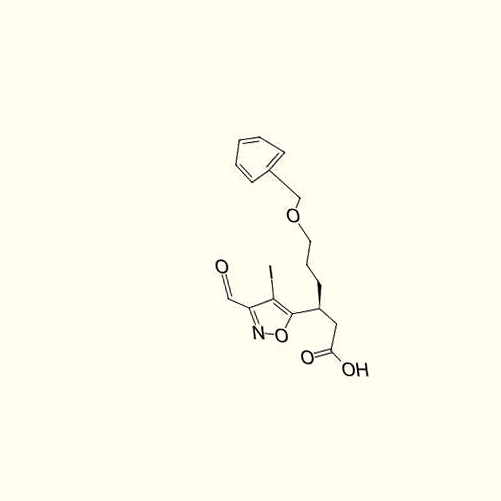 O=Cc1noc([C@@H](CCCOCc2ccccc2)CC(=O)O)c1I